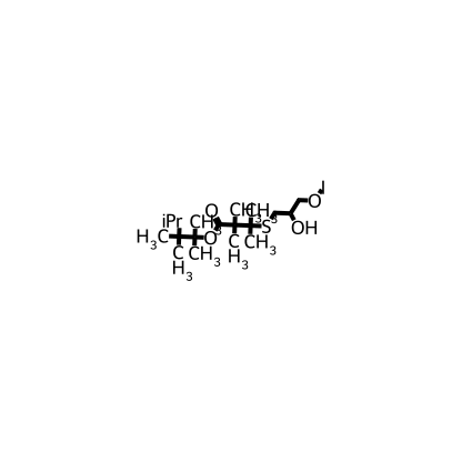 CC(C)C(C)(C)C(C)(C)OC(=O)C(C)(C)C(C)(C)SCC(O)COI